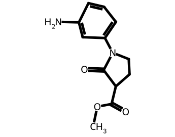 COC(=O)C1CCN(c2cccc(N)c2)C1=O